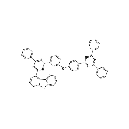 c1ccc(-c2nc(-c3ccccc3)nc(-c3ccc(Oc4cccc(-c5nc(-c6ccccc6)nc(-c6cccc7oc8ccccc8c67)n5)c4)cc3)n2)cc1